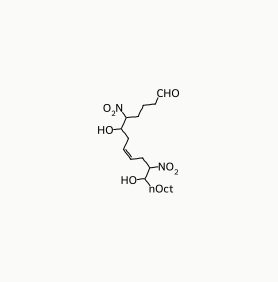 CCCCCCCCC(O)C(C/C=C\CC(O)C(CCCC=O)[N+](=O)[O-])[N+](=O)[O-]